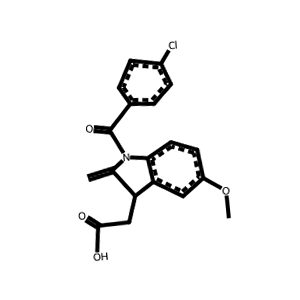 C=C1C(CC(=O)O)c2cc(OC)ccc2N1C(=O)c1ccc(Cl)cc1